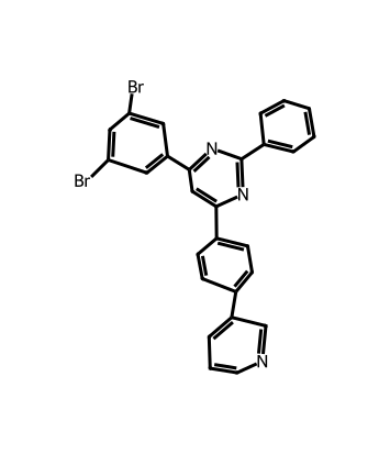 Brc1cc(Br)cc(-c2cc(-c3ccc(-c4cccnc4)cc3)nc(-c3ccccc3)n2)c1